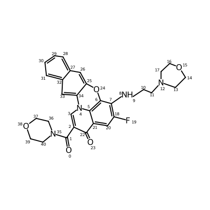 O=C(c1cn2c3c(c(NCCCN4CCOCC4)c(F)cc3c1=O)Oc1cc3ccccc3cc1-2)N1CCOCC1